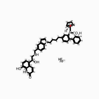 F.F.O=C(O)N(c1cc(CCCCn2ccc3cc(CNC[C@@H](O)c4ccc(O)c5[nH]c(=O)ccc45)ccc32)ccc1-c1ccccc1)[C@H]1CN2CCC1CC2